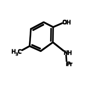 Cc1ccc(O)c(NC(C)C)c1